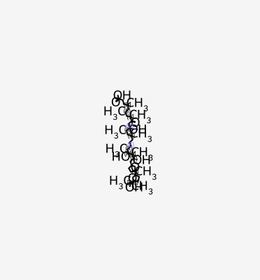 C[C@H](CCC(=O)O)C[C@H](C)C[C@H](C)C(=O)/C=C(\O)[C@H](C)C[C@H](C)C/C=C/[C@@H](C)[C@@H](O)[C@@H](C)[C@@H](O)CC1CC[C@@](C)(C2CC[C@@](C)([C@@H](C)O)O2)O1